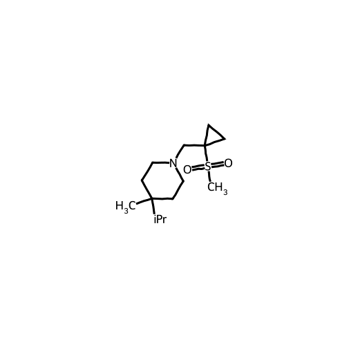 CC(C)C1(C)CCN(CC2(S(C)(=O)=O)CC2)CC1